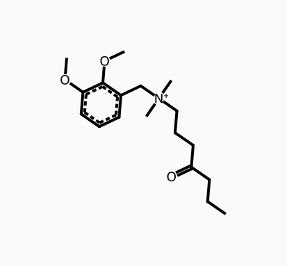 CCCC(=O)CCC[N+](C)(C)Cc1cccc(OC)c1OC